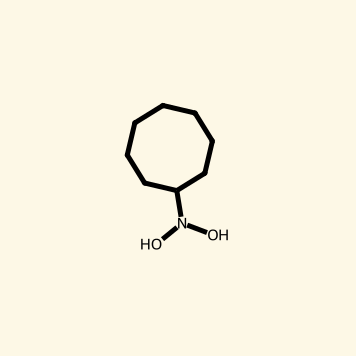 ON(O)C1CCCCCCC1